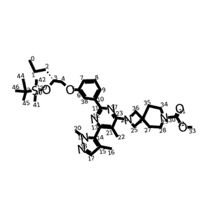 CCC[C@H](COc1cccc(-c2nc(-c3c(C)cnn3C)c(C)c(N3CC4(CCN(C(=O)OC)CC4)C3)n2)c1)O[Si](C)(C)C(C)(C)C